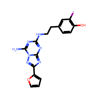 Nc1nc(NCCc2ccc(O)c(I)c2)nc2nc(-c3ccco3)nn12